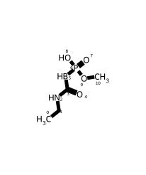 CCNC(=O)BP(=O)(O)OC